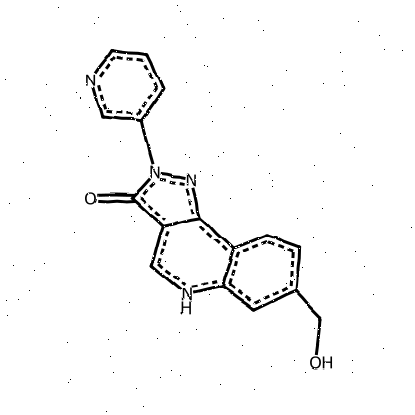 O=c1c2c[nH]c3cc(CO)ccc3c-2nn1-c1cccnc1